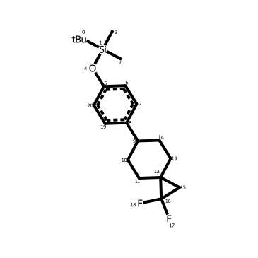 CC(C)(C)[Si](C)(C)Oc1ccc(C2CCC3(CC2)CC3(F)F)cc1